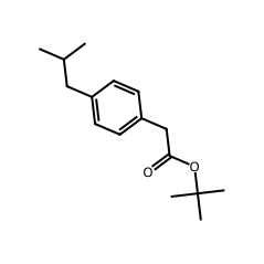 CC(C)Cc1ccc(CC(=O)OC(C)(C)C)cc1